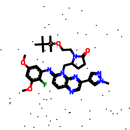 COc1cc(/N=c2\ccc3ncc(-c4cnn(C)c4)nc3n2CC2CCC(=O)N2CCO[Si](C)(C)C(C)(C)C)c(F)c(OC)c1